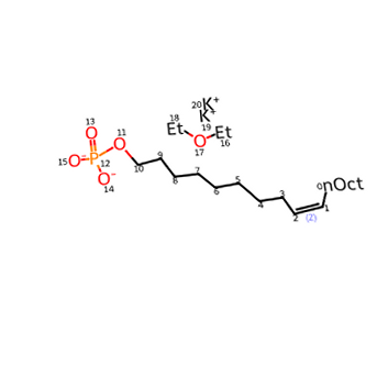 CCCCCCCC/C=C\CCCCCCCCOP(=O)([O-])[O-].CCOCC.[K+].[K+]